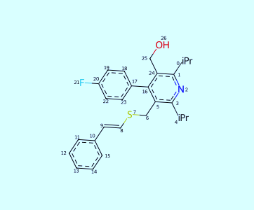 CC(C)c1nc(C(C)C)c(CSC=Cc2ccccc2)c(-c2ccc(F)cc2)c1CO